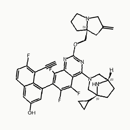 C#Cc1c(F)ccc2cc(O)cc(-c3c(F)c(F)c4c(N5C[C@@H]6CC[C@](C7CC7)(C5)N6)nc(OC[C@@]56CCCN5CC(=C)C6)nc4c3F)c12